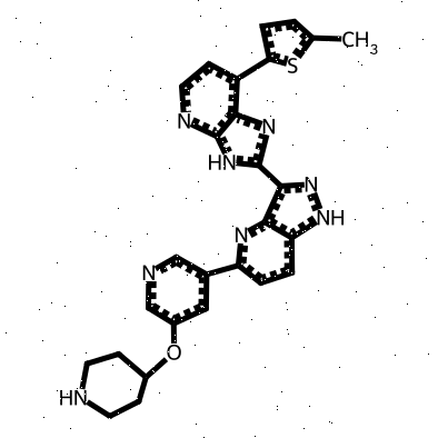 Cc1ccc(-c2ccnc3[nH]c(-c4n[nH]c5ccc(-c6cncc(OC7CCNCC7)c6)nc45)nc23)s1